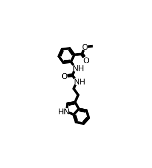 COC(=O)c1ccccc1NC(=O)NCCc1c[nH]c2ccccc12